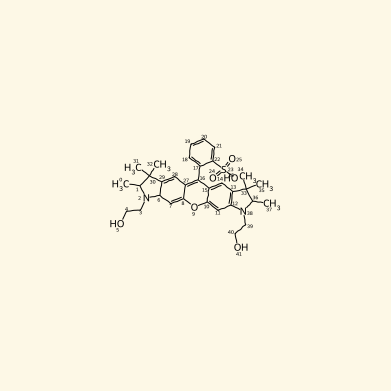 CC1N(CCO)C2C=C3Oc4cc5c(cc4C(c4ccccc4S(=O)(=O)O)=C3C=C2C1(C)C)C(C)(C)C(C)N5CCO